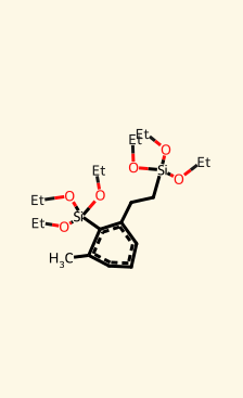 CCO[Si](CCc1cccc(C)c1[Si](OCC)(OCC)OCC)(OCC)OCC